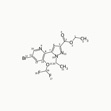 CCOC(=O)c1cc(-c2ncc(Br)cc2OC(F)F)n(CC)n1